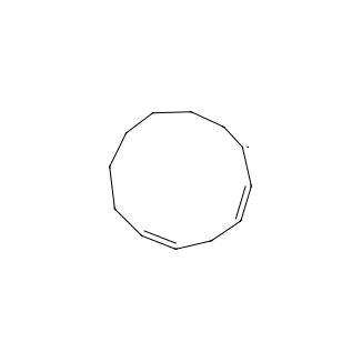 [CH]1/C=C\C/C=C\CCCCCC1